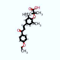 CCOc1ccc(C(=O)/C=C/c2cc(C)c(OC(C)(C)C(=O)O)c(C)c2)cc1